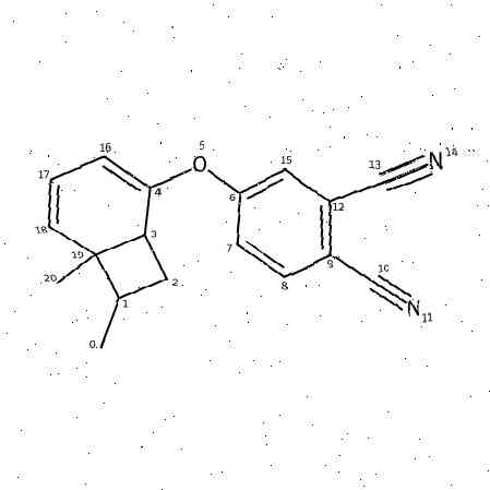 CC1CC2C(Oc3ccc(C#N)c(C#N)c3)=CC=CC12C